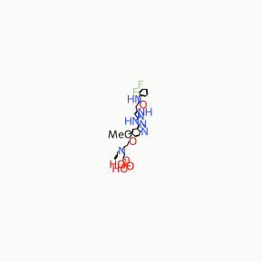 C#CCN(CCCOc1cc2ncnc(Nc3cc(CC(=O)Nc4cccc(F)c4F)[nH]n3)c2cc1OC)CCOP(=O)(O)O